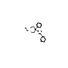 CC(C)C(=O)N1CCC(c2ccccc2)(c2noc(-c3cc(Br)ccc3O)n2)CC1